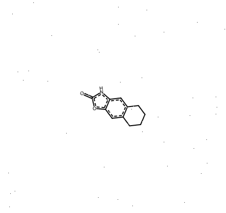 O=c1[nH]c2cc3c(cc2o1)CCCC3